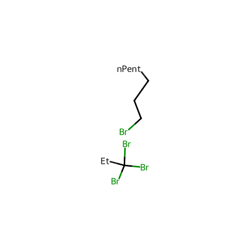 CCC(Br)(Br)Br.CCCCCCCCBr